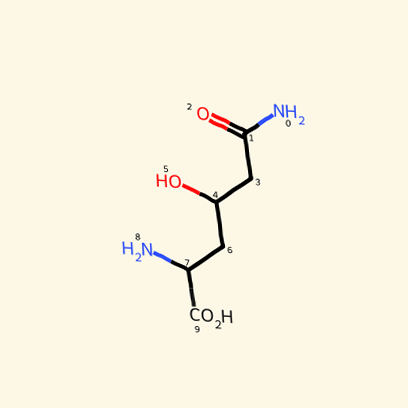 NC(=O)CC(O)CC(N)C(=O)O